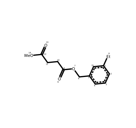 CCc1cccc(COC(=O)CCC(=O)OC)c1